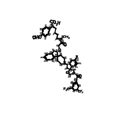 CN(CCCCN(C(=O)O)c1ccc(C=O)cc1)C(=O)CO[C@H]1Cc2ccccc2C12CCN(CC[C@@]1(c3ccc(F)cc3)CN(C(=O)c3cc(C(F)(F)F)cc(C(F)(F)F)c3)CO1)CC2